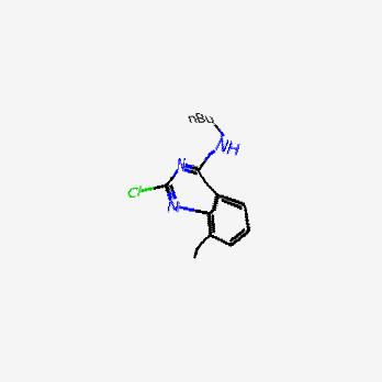 CCCCNc1nc(Cl)nc2c(C)cccc12